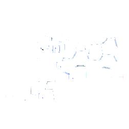 CCc1c(F)ccc2cc(O)cc(-c3nc4c5c(nc(OC[C@@]67CCCN6[C@@H](CO)CC7)nc5c3F)N3C[C@H]5CC[C@H](N5)[C@H]3CO4)c12